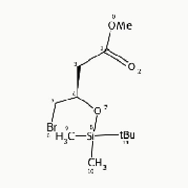 COC(=O)C[C@H](CBr)O[Si](C)(C)C(C)(C)C